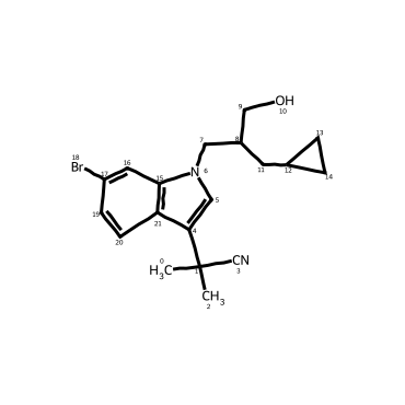 CC(C)(C#N)c1cn(CC(CO)CC2CC2)c2cc(Br)ccc12